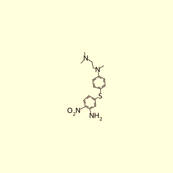 CN(C)CCN(C)c1ccc(Sc2ccc([N+](=O)[O-])c(N)c2)cc1